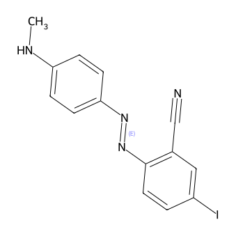 CNc1ccc(/N=N/c2ccc(I)cc2C#N)cc1